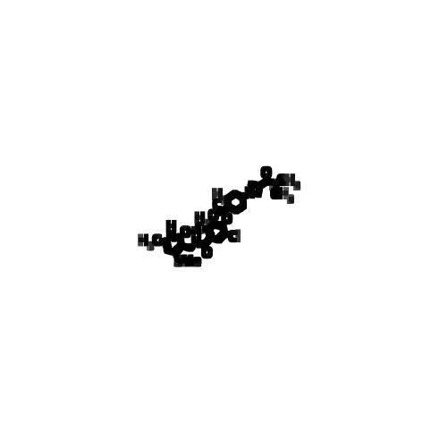 CSc1cc(C)[nH]c(=O)c1CNC(=O)c1cc(Cl)c2c(c1C)OC(C)(C1CCC(N3CC(C(=O)N(C)C)C3)CC1)O2